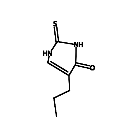 CCCc1c[nH]c(=S)[nH]c1=O